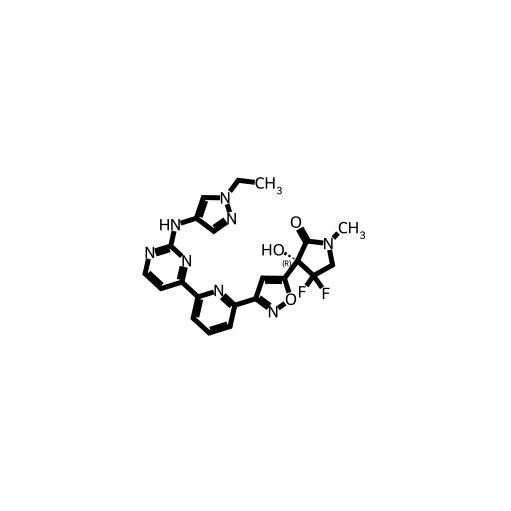 CCn1cc(Nc2nccc(-c3cccc(-c4cc([C@@]5(O)C(=O)N(C)CC5(F)F)on4)n3)n2)cn1